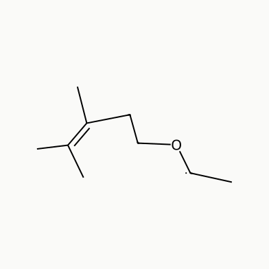 C[CH]OCCC(C)=C(C)C